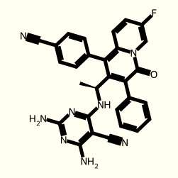 C[C@H](Nc1nc(N)nc(N)c1C#N)c1c(-c2ccccc2)c(=O)n2cc(F)ccc2c1-c1ccc(C#N)cc1